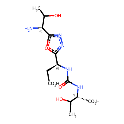 CC(O)[C@H](NC(=O)N[C@@H](CC(=O)O)c1nnc([C@@H](N)C(C)O)o1)C(=O)O